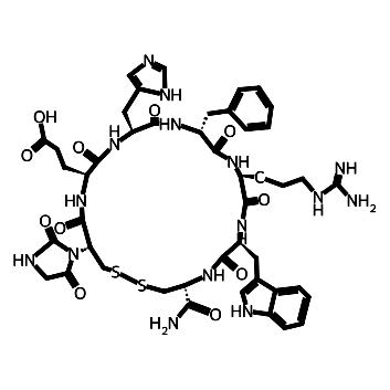 N=C(N)NCCC[C@@H]1NC(=O)[C@@H](Cc2ccccc2)NC(=O)[C@H](Cc2cnc[nH]2)NC(=O)[C@H](CCC(=O)O)NC(=O)[C@@H](N2C(=O)CNC2=O)CSSC[C@@H](C(N)=O)NC(=O)[C@H](Cc2c[nH]c3ccccc23)NC1=O